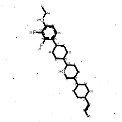 C/C=C/C1CCC(C2CCC(C3CCC(c4ccc(OCC)c(F)c4F)CC3)OC2)CC1